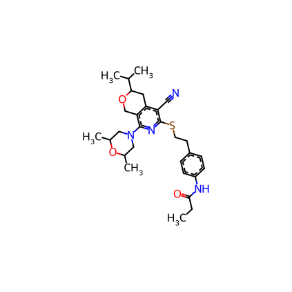 CCC(=O)Nc1ccc(CCSc2nc(N3CC(C)OC(C)C3)c3c(c2C#N)CC(C(C)C)OC3)cc1